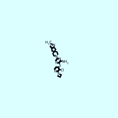 Cn1cc2c(n1)CC1(CCN(c3cnc(Sc4ccnc(N5CCC5)c4Cl)c(N)n3)CC1)C2